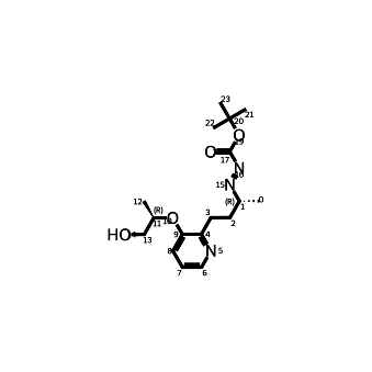 C[C@H](CCc1ncccc1O[C@H](C)CO)N=NC(=O)OC(C)(C)C